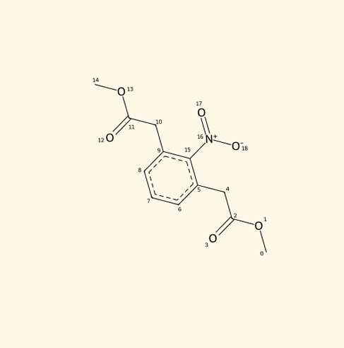 COC(=O)Cc1cccc(CC(=O)OC)c1[N+](=O)[O-]